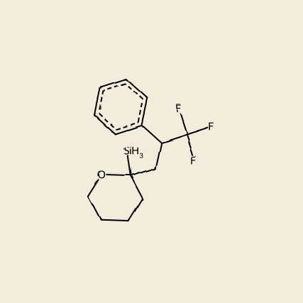 FC(F)(F)C(CC1([SiH3])CCCCO1)c1ccccc1